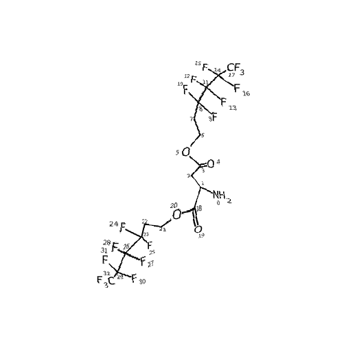 NC(CC(=O)OCCC(F)(F)C(F)(F)C(F)(F)C(F)(F)F)C(=O)OCCC(F)(F)C(F)(F)C(F)(F)C(F)(F)F